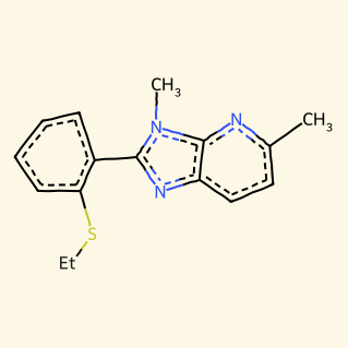 CCSc1ccccc1-c1nc2ccc(C)nc2n1C